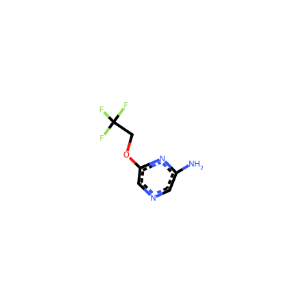 Nc1cncc(OCC(F)(F)F)n1